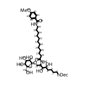 CCCCCCCCCCCCCCC(O)C(O)C(CO[C@H]1O[C@H](CO)[C@H](O)[C@H](O)[C@H]1O)NC(=O)CCCCCCCCCCCNC(=O)c1ccc(OC)cc1